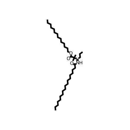 CCCCCCCCCCCCCCCCCC(=O)NN(CCC)C(C)(C)C(=O)OCCCCCCCCCCCCCC